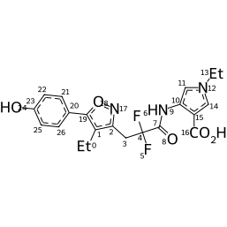 CCc1c(CC(F)(F)C(=O)Nc2cn(CC)cc2C(=O)O)noc1-c1ccc(O)cc1